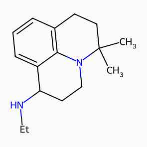 CCNC1CCN2c3c(cccc31)CCC2(C)C